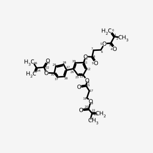 C=C(C)C(=O)OCCC(=O)Oc1cc(OC(=O)CCOC(=O)C(=C)C)cc(-c2ccc(OC(=O)C(=C)C)cc2)c1